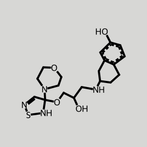 Oc1ccc2c(c1)CC(NCC(O)COC1(N3CCOCC3)C=NSN1)CC2